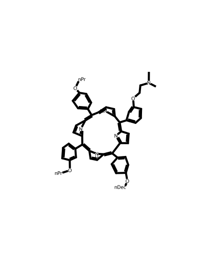 CCCCCCCCCCOc1ccc(-c2c3nc(c(-c4cccc(OCCN(C)C)c4)c4ccc([nH]4)c(-c4ccc(OCCC)cc4)c4nc(c(-c5cccc(OCCC)c5)c5ccc2[nH]5)C=C4)C=C3)cc1